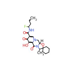 C=CCC(F)NC(=O)c1cn2c(c(O)c1=O)C(=O)N1[C@H](C2)OC2(CCCCC2)[C@H]1C